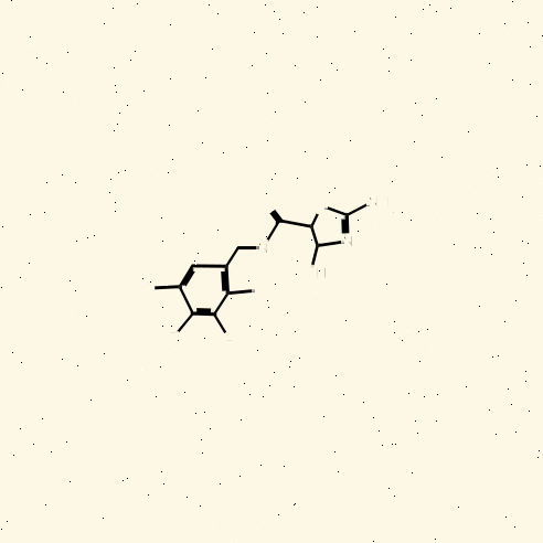 CC1N=C(N)SC1C(=O)NCc1cc(F)c(F)c(F)c1F